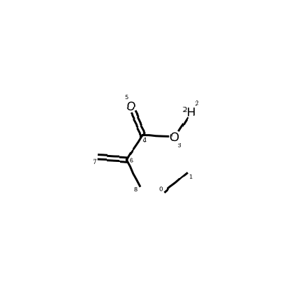 CC.[2H]OC(=O)C(=C)C